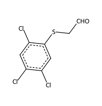 O=CCSc1cc(Cl)c(Cl)cc1Cl